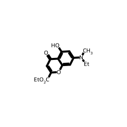 CCOC(=O)c1cc(=O)c2c(O)cc(N(C)CC)cc2o1